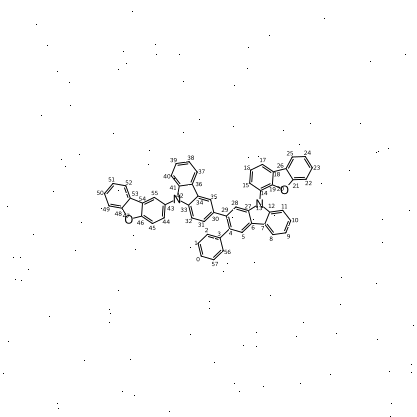 c1ccc(-c2cc3c4ccccc4n(-c4cccc5c4oc4ccccc45)c3cc2-c2ccc3c(c2)c2ccccc2n3-c2ccc3oc4ccccc4c3c2)cc1